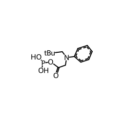 CC(C)(C)CN(CC(=O)OP(O)O)c1ccccc1